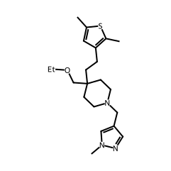 CCOCC1(CCc2cc(C)sc2C)CCN(Cc2cnn(C)c2)CC1